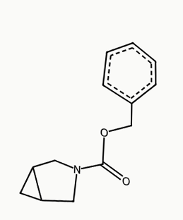 O=C(OCc1ccccc1)N1CC2CC2C1